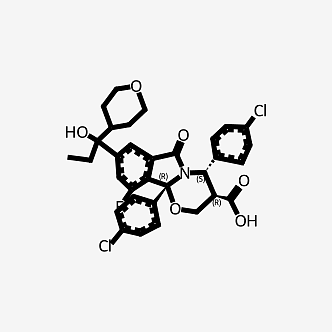 CCC(O)(c1cc(F)c2c(c1)C(=O)N1[C@H](c3ccc(Cl)cc3)[C@@H](C(=O)O)CO[C@]21c1ccc(Cl)cc1)C1CCOCC1